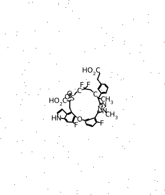 Cn1nc2nc1-c1cc(ccc1F)Oc1c(F)cc3[nH]ccc3c1CC(C(=O)O)S(=O)(=O)CCC(F)(F)CCC2(C)c1cccc(CCC(=O)O)c1